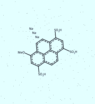 COc1cc(S(=O)(=O)O)c2ccc3c(S(=O)(=O)O)cc(S(=O)(=O)O)c4ccc1c2c43.[Na].[Na].[Na]